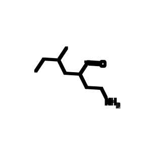 CCC(C)CC([C]=O)CCN